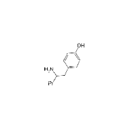 CC(C)C(N)Cc1ccc(O)cc1